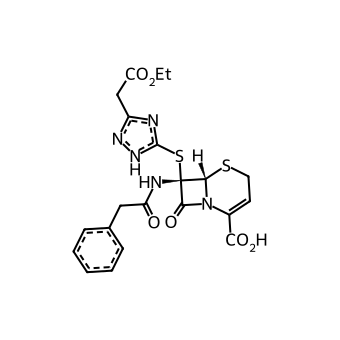 CCOC(=O)Cc1n[nH]c(S[C@@]2(NC(=O)Cc3ccccc3)C(=O)N3C(C(=O)O)=CCS[C@H]32)n1